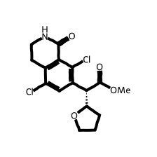 COC(=O)[C@@H](c1cc(Cl)c2c(c1Cl)C(=O)NCC2)C1CCCO1